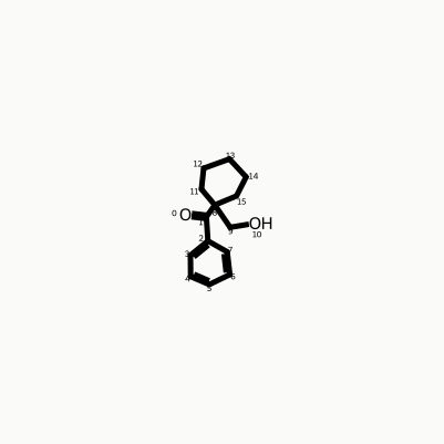 O=C(c1ccccc1)C1(CO)CCCCC1